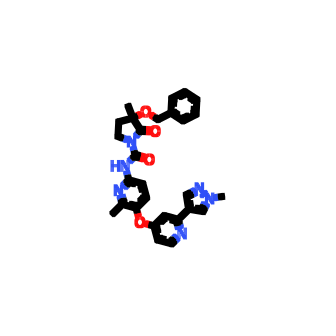 Cc1nc(NC(=O)N2CCC(C)(OCc3ccccc3)C2=O)ccc1Oc1ccnc(-c2cnn(C)c2)c1